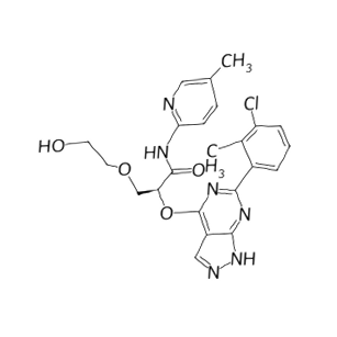 Cc1ccc(NC(=O)[C@H](COCCO)Oc2nc(-c3cccc(Cl)c3C)nc3[nH]ncc23)nc1